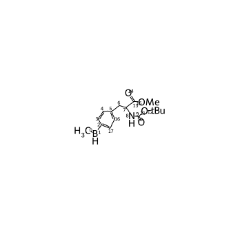 CBc1ccc(CC(NC(=O)OC(C)(C)C)C(=O)OC)cc1